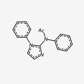 CC(=O)N(c1ccccc1)c1nccn1-c1ccccc1